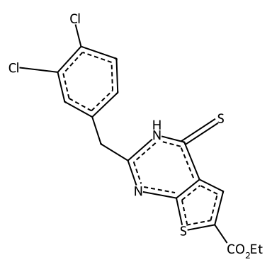 CCOC(=O)c1cc2c(=S)[nH]c(Cc3ccc(Cl)c(Cl)c3)nc2s1